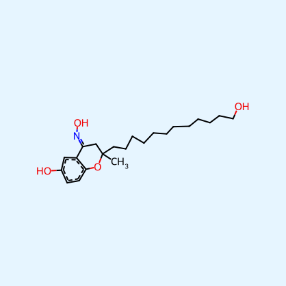 CC1(CCCCCCCCCCCCO)CC(=NO)c2cc(O)ccc2O1